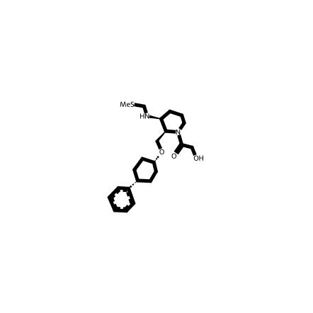 CSCN[C@H]1CCCN(C(=O)CO)[C@H]1CO[C@H]1CC[C@@H](c2ccccc2)CC1